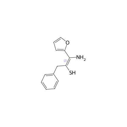 N/C(=C(\S)Cc1ccccc1)c1ccco1